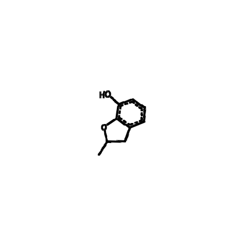 CC1Cc2cccc(O)c2O1